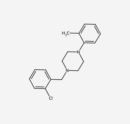 Cc1ccccc1N1CCN(Cc2ccccc2Cl)CC1